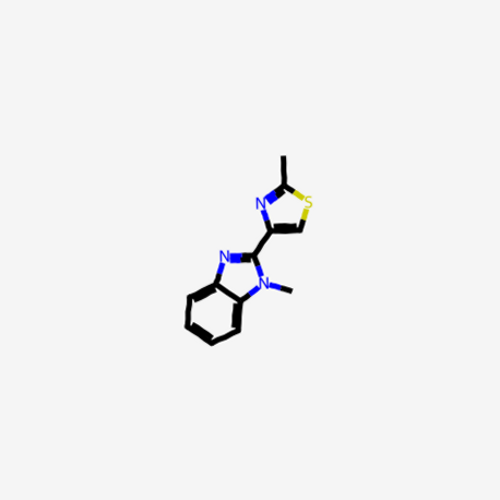 Cc1nc(-c2nc3ccccc3n2C)cs1